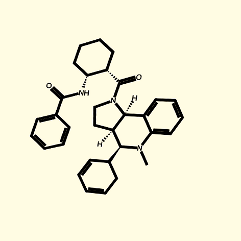 CN1c2ccccc2[C@H]2[C@H](CCN2C(=O)[C@H]2CCCC[C@H]2NC(=O)c2ccccc2)[C@@H]1C1C=CC=CC1